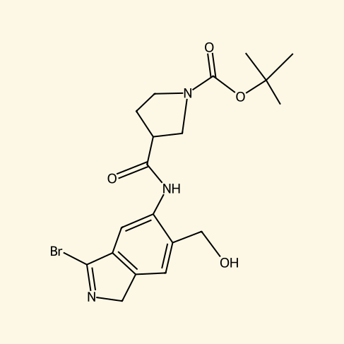 CC(C)(C)OC(=O)N1CCC(C(=O)Nc2cc3c(cc2CO)CN=C3Br)C1